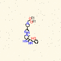 CCOC(CN1CCC(c2cnc(N3CCc4[nH]c5nnc(-c6ccccc6O)cc5c4C3C)nc2)CC1)OCC